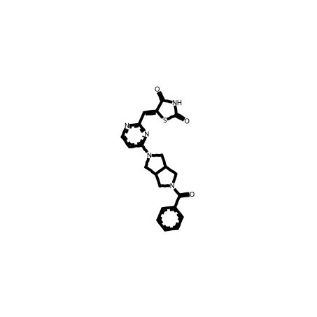 O=C1NC(=O)C(=Cc2nccc(N3CC4CN(C(=O)c5ccccc5)CC4C3)n2)S1